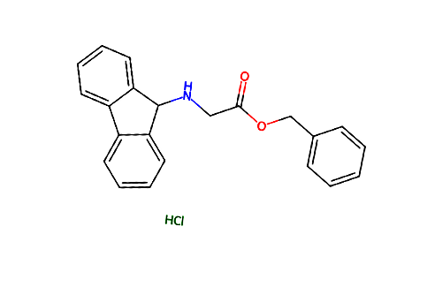 Cl.O=C(CNC1c2ccccc2-c2ccccc21)OCc1ccccc1